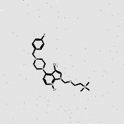 C[Si](C)(C)CCOCn1cc(C(F)(F)F)c2c(N3CCN(Cc4ccc(F)cc4)CC3)cc[n+]([O-])c21